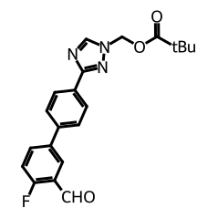 CC(C)(C)C(=O)OCn1cnc(-c2ccc(-c3ccc(F)c(C=O)c3)cc2)n1